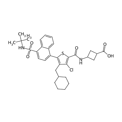 CC(C)(C)NS(=O)(=O)c1ccc(-c2sc(C(=O)NC3CC(C(=O)O)C3)c(Cl)c2CC2CCCCC2)c2ccccc12